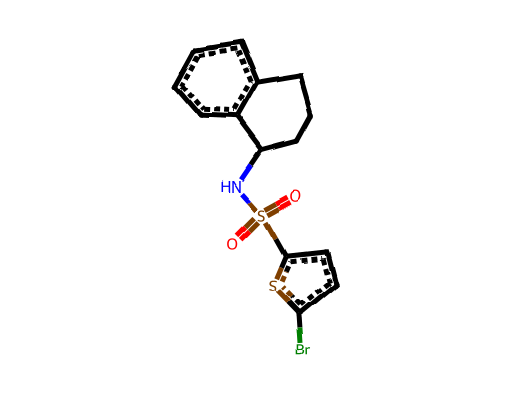 O=S(=O)(NC1CCCc2ccccc21)c1ccc(Br)s1